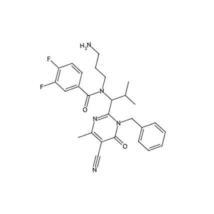 Cc1nc(C(C(C)C)N(CCCN)C(=O)c2ccc(F)c(F)c2)n(Cc2ccccc2)c(=O)c1C#N